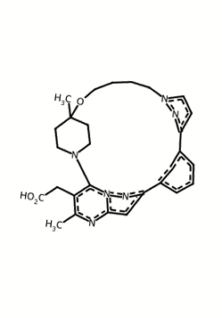 Cc1nc2cc3nn2c(c1CC(=O)O)N1CCC(C)(CC1)OCCCCn1ccc(n1)-c1cccc-3c1